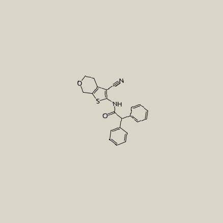 N#Cc1c(NC(=O)C(c2ccccc2)c2ccccc2)sc2c1CCOC2